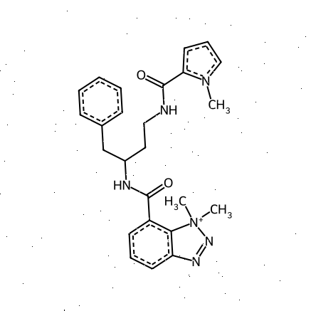 Cn1cccc1C(=O)NCCC(Cc1ccccc1)NC(=O)c1cccc2c1[N+](C)(C)N=N2